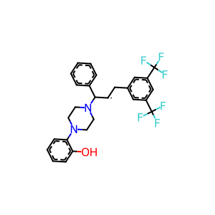 Oc1ccccc1N1CCN(C([CH]Cc2cc(C(F)(F)F)cc(C(F)(F)F)c2)c2ccccc2)CC1